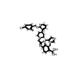 Cn1cncc1Cn1c(CN2CCC(c3cccnc3OCc3ccc(Cl)cc3F)CC2)nc2ccc(C(O)O)cc21